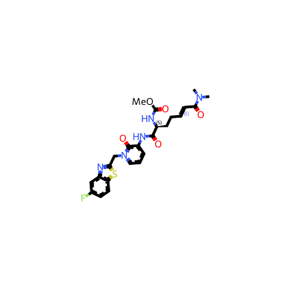 COC(=O)N[C@@H](CC/C=C/C(=O)N(C)C)C(=O)Nc1cccn(Cc2nc3cc(F)ccc3s2)c1=O